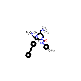 COc1ccc(NC(=O)N2CCC(CN(C)C)CN3[C@H](CN(C)C)[C@H](c4ccc(C#Cc5ccccc5)cc4)[C@@H]3C2)cc1